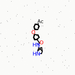 CC(=O)c1ccc(Oc2ccc(C(=O)NC3CC4CNC3C4)cc2)cc1